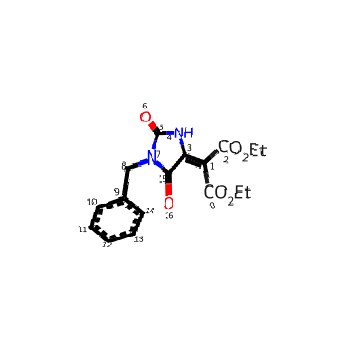 CCOC(=O)C(C(=O)OCC)=C1NC(=O)N(Cc2ccccc2)C1=O